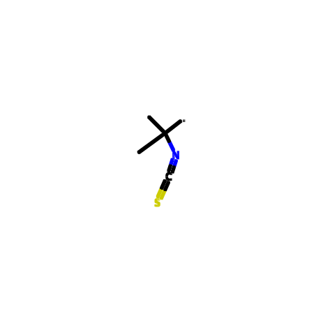 [CH2]C(C)(C)N=C=S